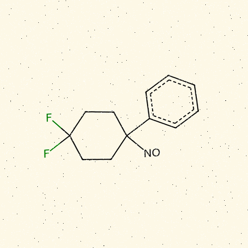 O=NC1(c2ccccc2)CCC(F)(F)CC1